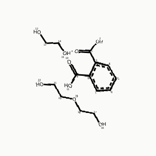 O=C(O)c1ccccc1C(=O)O.OCCO.OCCOCCO